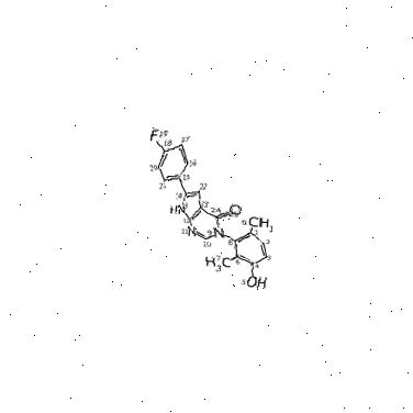 Cc1ccc(O)c(C)c1-n1cnc2[nH]c(-c3ccc(F)cc3)cc2c1=O